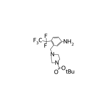 CC(C)(C)OC(=O)N1CCN(Cc2cc(N)ccc2C(F)(F)C(F)(F)F)CC1